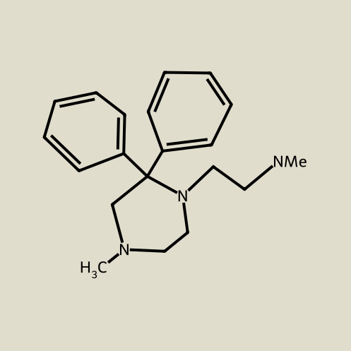 CNCCN1CCN(C)CC1(c1ccccc1)c1ccccc1